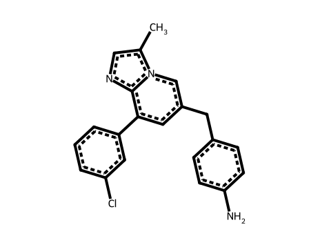 Cc1cnc2c(-c3cccc(Cl)c3)cc(Cc3ccc(N)cc3)cn12